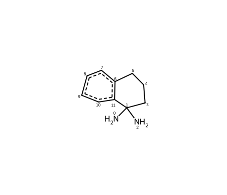 NC1(N)CCCc2ccccc21